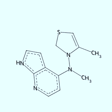 CC1=CSCN1N(C)c1ccnc2[nH]ccc12